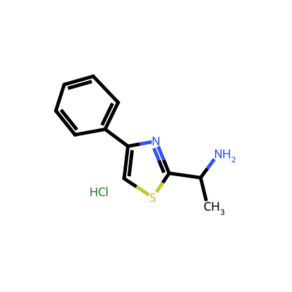 CC(N)c1nc(-c2ccccc2)cs1.Cl